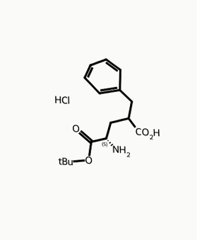 CC(C)(C)OC(=O)[C@@H](N)CC(Cc1ccccc1)C(=O)O.Cl